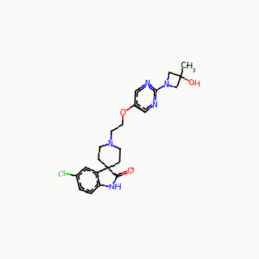 CC1(O)CN(c2ncc(OCCN3CCC4(CC3)C(=O)Nc3ccc(Cl)cc34)cn2)C1